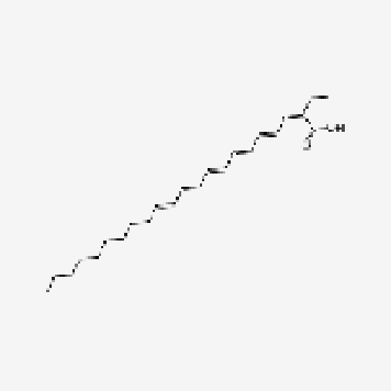 CCCCCCCCCC=CC=CC=CC=CC=CC=C(CC)C(=O)O